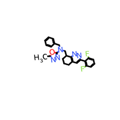 Cc1nnc(N(Cc2ccccc2)CC2CCCc3cc(-c4c(F)cccc4F)nnc32)o1